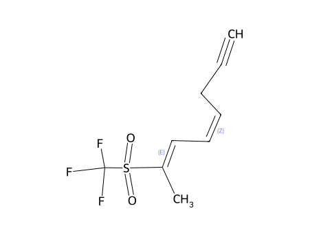 C#CC/C=C\C=C(/C)S(=O)(=O)C(F)(F)F